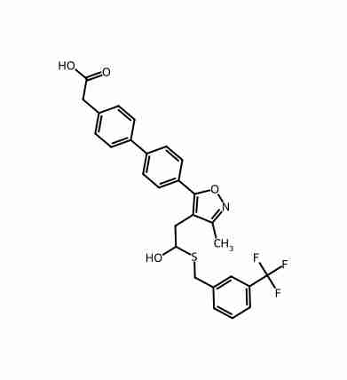 Cc1noc(-c2ccc(-c3ccc(CC(=O)O)cc3)cc2)c1CC(O)SCc1cccc(C(F)(F)F)c1